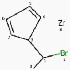 CC(Br)C1C=CC=C1.[Zr]